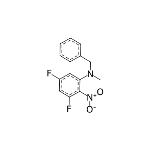 CN(Cc1ccccc1)c1cc(F)cc(F)c1[N+](=O)[O-]